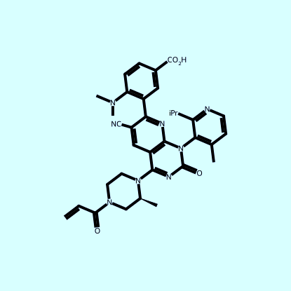 C=CC(=O)N1CCN(c2nc(=O)n(-c3c(C)ccnc3C(C)C)c3nc(-c4cc(C(=O)O)ccc4N(C)C)c(C#N)cc23)[C@@H](C)C1